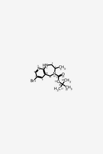 CC1CNc2ncc(Br)cc2CN1C(=O)OC(C)(C)C